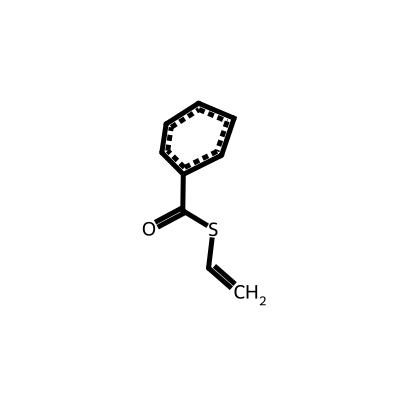 C=CSC(=O)c1ccccc1